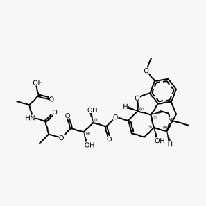 COc1ccc2c3c1O[C@H]1C(OC(=O)[C@H](O)[C@@H](O)C(=O)OC(C)C(=O)NC(C)C(=O)O)=CC[C@@]4(O)[C@@H](C2)N(C)CC[C@]314